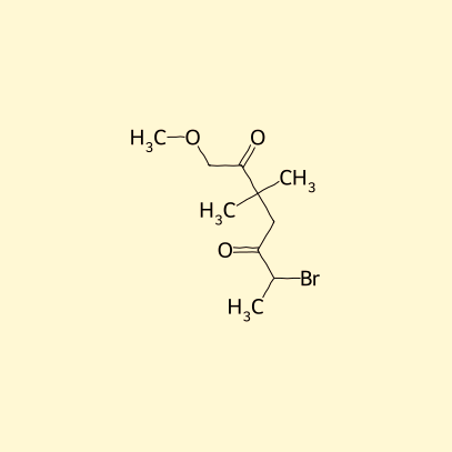 COCC(=O)C(C)(C)CC(=O)C(C)Br